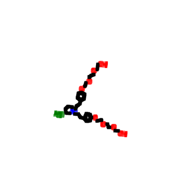 Cl.OCCOCCOCCOc1ccc(CCC[N+]2(CCCc3ccc(OCCOCCOCCO)cc3)CCCCC2)cc1.[Cl-]